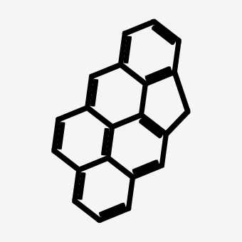 c1cc2c3c(c1)cc1ccc4cccc5cc(c3c1c45)C2